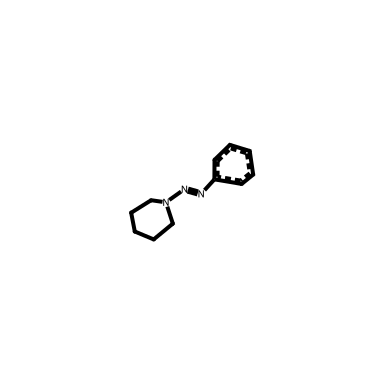 c1ccc(N=NN2CCCCC2)cc1